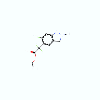 CCOC(=O)C(F)(F)c1cc2c(cc1F)NN(C)C2